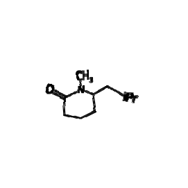 CC(C)CC1CCCC(=O)N1C